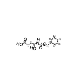 O=C(O)CCC(O)NC(=O)OCc1ccccc1